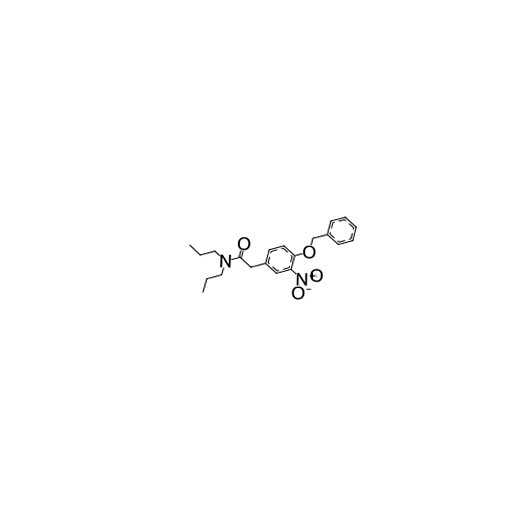 CCCN(CCC)C(=O)Cc1ccc(OCc2ccccc2)c([N+](=O)[O-])c1